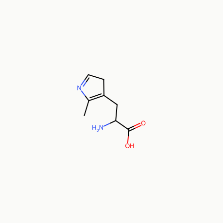 CC1=C(CC(N)C(=O)O)CC=N1